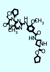 CC[C@@H]1C(=O)N(C)c2cnc(Nc3ccc(C(=O)N[C@@H]4CN[C@H](C(=O)OC5CCCC5)C4)cc3OC)nc2N1C1CCCC1